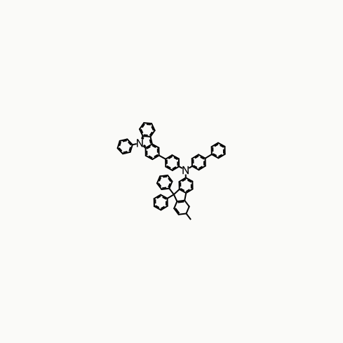 CC1C=CC2=C(C1)c1ccc(N(c3ccc(-c4ccccc4)cc3)c3ccc(-c4ccc5c(c4)c4ccccc4n5-c4ccccc4)cc3)cc1C2(c1ccccc1)c1ccccc1